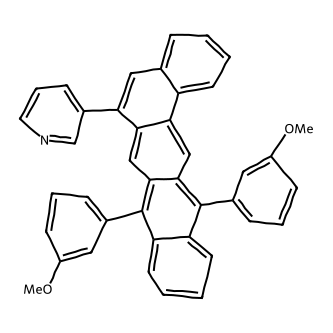 COc1cccc(-c2c3ccccc3c(-c3cccc(OC)c3)c3cc4c(cc23)c(-c2cccnc2)cc2ccccc24)c1